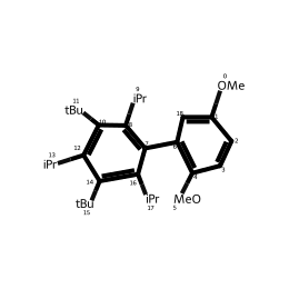 COc1ccc(OC)c(-c2c(C(C)C)c(C(C)(C)C)c(C(C)C)c(C(C)(C)C)c2C(C)C)c1